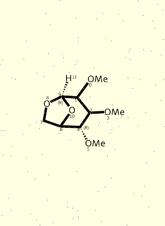 COC1C(OC)[C@H](OC)C2CO[C@@H]1O2